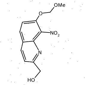 COCOc1ccc2ccc(CO)nc2c1[N+](=O)[O-]